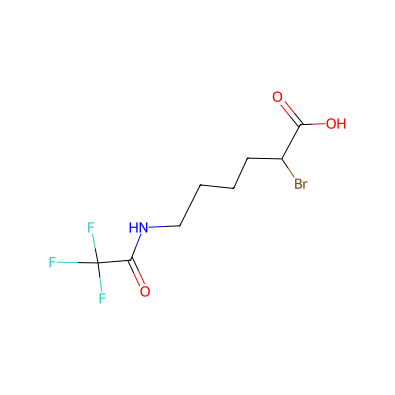 O=C(O)C(Br)CCCCNC(=O)C(F)(F)F